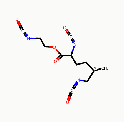 C[C@H](CCC(N=C=O)C(=O)OCCN=C=O)CN=C=O